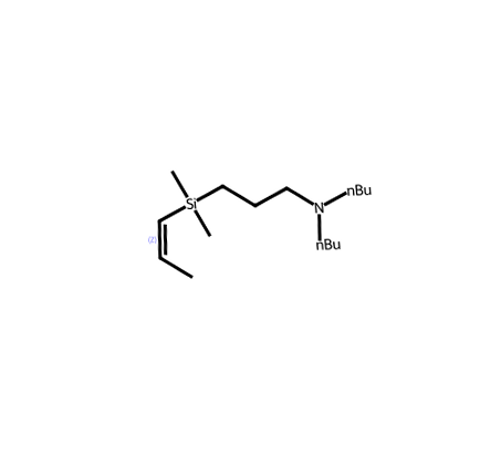 C/C=C\[Si](C)(C)CCCN(CCCC)CCCC